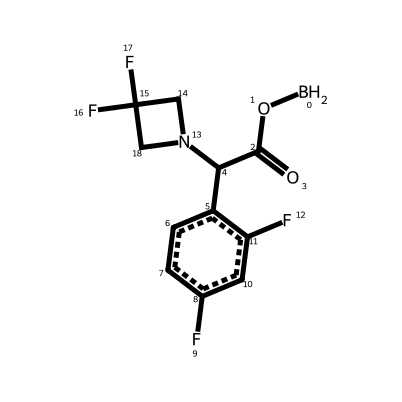 BOC(=O)C(c1ccc(F)cc1F)N1CC(F)(F)C1